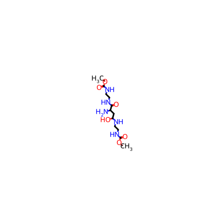 COC(=O)NCCNC(=O)C(N)CC(O)NCCNC(=O)OC